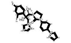 C[C@@H](n1ccn(-c2ccc(-n3cccn3)cc2)c1=O)[C@](O)(Cn1cncn1)c1ccc(F)cc1F